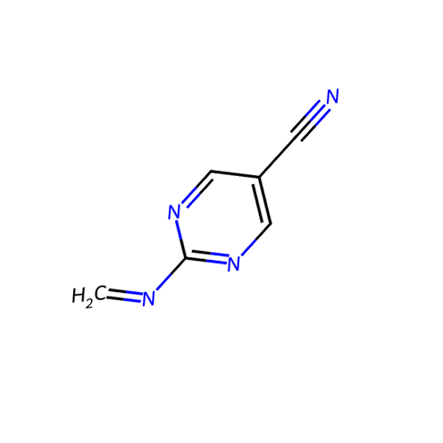 C=Nc1ncc(C#N)cn1